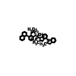 CC(C)=Cc1c(CS(C)(C)C2C(C)=Cc3c2cccc3N2c3ccccc3CC2C)cccc1-c1cccc2ccccc12